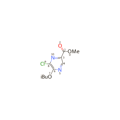 COC(=O)c1cnc(OCC(C)C)c(Cl)n1